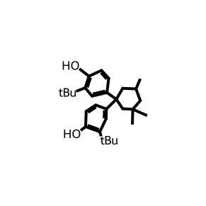 CC1CC(C)(C)CC(c2ccc(O)c(C(C)(C)C)c2)(c2ccc(O)c(C(C)(C)C)c2)C1